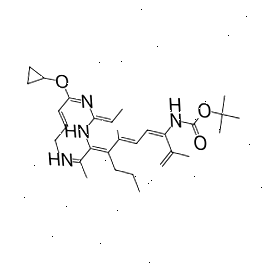 C=C(C)\C(=C/C=C(C)/C(CCC)=C(\NC(=C/C)/N=C(\C=C\CC)OC1CC1)C(C)=N)NC(=O)OC(C)(C)C